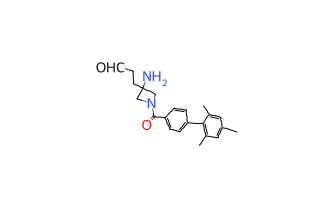 Cc1cc(C)c(-c2ccc(C(=O)N3CC(N)(CCC=O)C3)cc2)c(C)c1